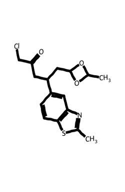 Cc1nc2cc(C(CC(=O)CCl)CC3OC(C)O3)ccc2s1